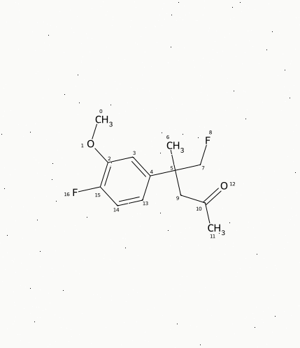 COc1cc(C(C)(CF)CC(C)=O)ccc1F